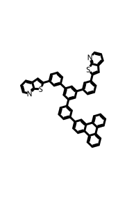 c1cc(-c2cc(-c3cccc(-c4cc5cccnc5s4)c3)cc(-c3cccc(-c4cc5cccnc5s4)c3)c2)cc(-c2ccc3c4ccccc4c4ccccc4c3c2)c1